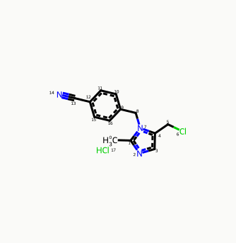 Cc1ncc(CCl)n1Cc1ccc(C#N)cc1.Cl